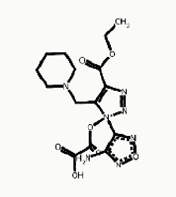 CCOC(=O)C1=C(CN2CCCCC2)[N+](OC(=O)C(=O)O)(c2nonc2N)N=N1